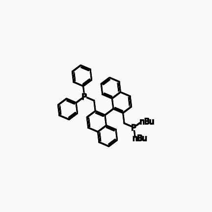 CCCCP(CCCC)Cc1ccc2ccccc2c1-c1c(CP(c2ccccc2)c2ccccc2)ccc2ccccc12